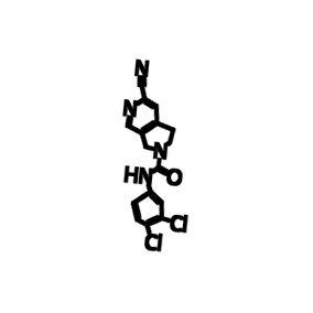 N#Cc1cc2c(cn1)CN(C(=O)Nc1ccc(Cl)c(Cl)c1)CC2